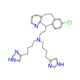 Clc1ccc2c(c1)CCc1cccnc1C2CCN(CCCCc1c[nH]cn1)CCCCc1c[nH]cn1